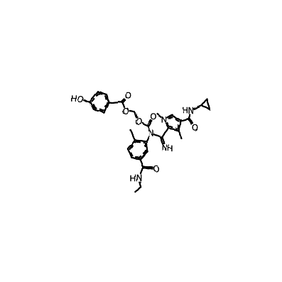 CCNC(=O)c1ccc(C)c(N(C(=N)c2c(C)c(C(=O)NC3CC3)cn2C)C(=O)OCOC(=O)c2ccc(O)cc2)c1